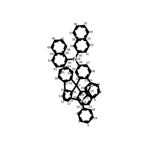 c1ccc(N(c2ccccc2)c2cccc3c2C2(c4ccccc4Oc4ccc(N(c5ccc6ccccc6c5)c5cccc6ccccc56)cc42)c2ccccc2-3)cc1